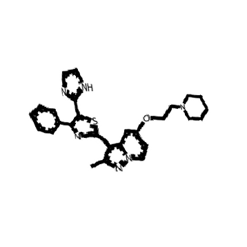 Cc1nn2ccc(OCCN3CCCCC3)cc2c1-c1nc(-c2ccccc2)c(-c2ncc[nH]2)s1